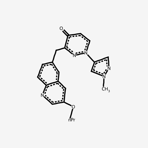 CCCOc1cnc2ccc(Cc3nn(-c4cnn(C)c4)ccc3=O)cc2c1